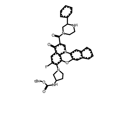 CC(C)(C)OC(=O)NC1CCN(c2c(F)cc3c(=O)c(C(=O)N4CCNC(c5ccccc5)C4)cn4c3c2Oc2cc3ccccc3cc2-4)C1